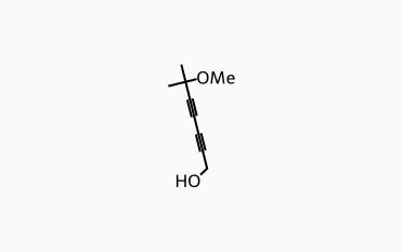 COC(C)(C)C#CC#CCO